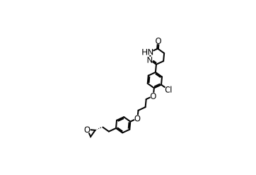 O=C1CCC(c2ccc(OCCCOc3ccc(CC[C@@H]4CO4)cc3)c(Cl)c2)=NN1